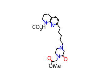 COC(=O)CN1CCN(CCCCCc2ccc3c(n2)N(C(=O)O)CCC3)CC1=O